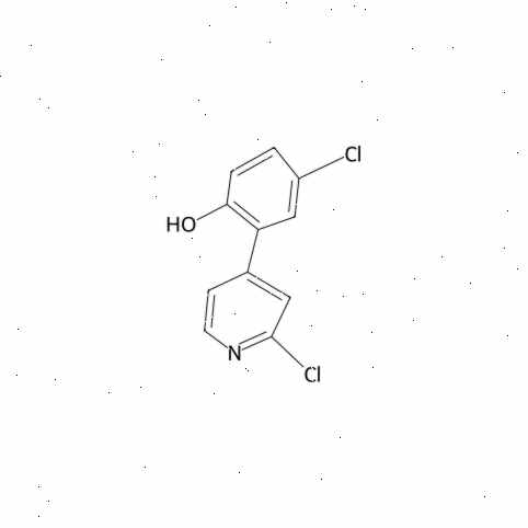 Oc1ccc(Cl)cc1-c1ccnc(Cl)c1